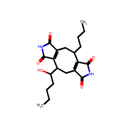 CCCCC1CC2=C(C(=O)NC2=O)C(C(O)CCCC)CC2=C1C(=O)NC2=O